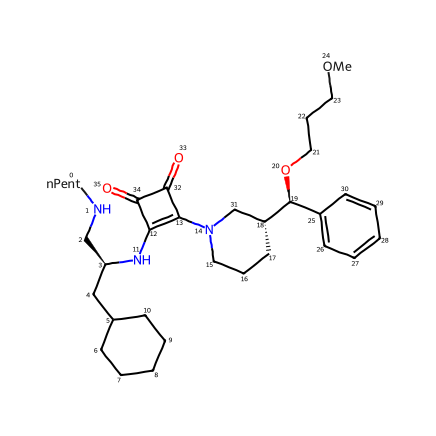 CCCCCNC[C@H](CC1CCCCC1)Nc1c(N2CCC[C@@H]([C@@H](OCCCOC)c3ccccc3)C2)c(=O)c1=O